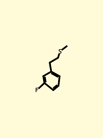 CSCCc1cccc(F)c1